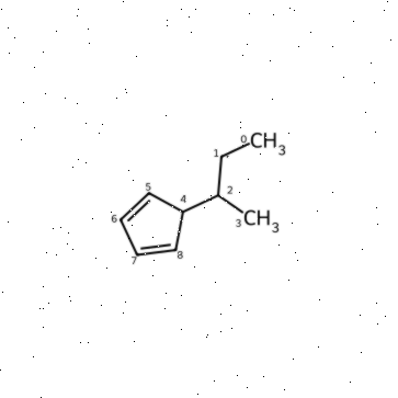 C[CH]C(C)C1C=CC=C1